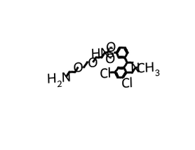 CN1Cc2c(Cl)cc(Cl)cc2C(c2cccc(S(=O)(=O)NCCOCCOCCN)c2)C1